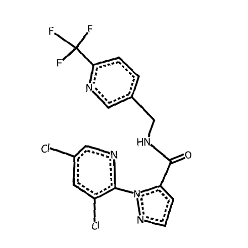 O=C(NCc1ccc(C(F)(F)F)nc1)c1ccnn1-c1ncc(Cl)cc1Cl